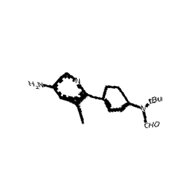 Cc1cc(N)cnc1C1=CCC(N(C=O)C(C)(C)C)CC1